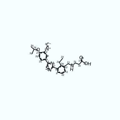 [C-]#[N+]c1cc(-c2nc(-c3cccc(CNCCC(=O)O)c3CC)ns2)ccc1OC(C)C